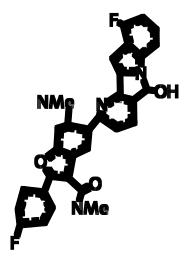 CNC(=O)c1c(-c2ccc(F)cc2)oc2cc(NC)c(-c3ccc4c(n3)-c3cc5c(F)cccc5n3C4O)cc12